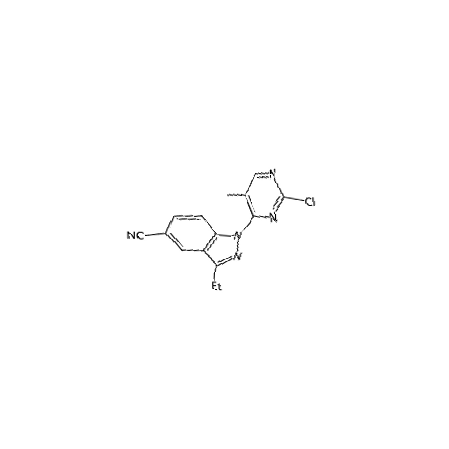 CCc1nn(-c2nc(Cl)ncc2C)c2ccc(C#N)cc12